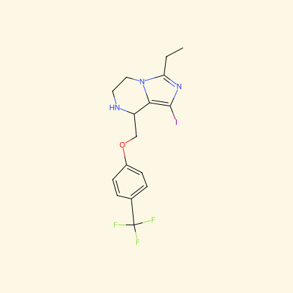 CCc1nc(I)c2n1CCNC2COc1ccc(C(F)(F)F)cc1